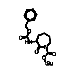 CC(C)(C)OC(=O)N1CCCCC(NC(=O)OCc2ccccc2)C1=O